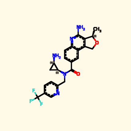 C[C@H]1OCc2c1c(N)nc1ccc(C(=O)N(Cc3ccc(C(F)(F)F)cn3)[C@H]3C[C@H]3N)cc21